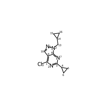 Clc1nc(C2CC2)nc2c1cnn2CC1CC1